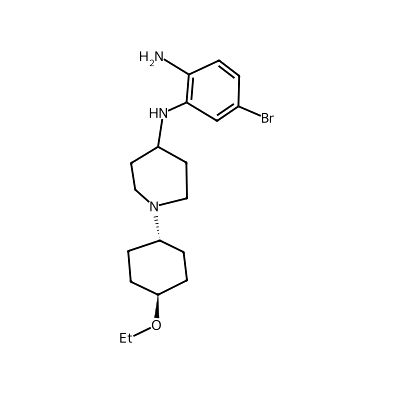 CCO[C@H]1CC[C@H](N2CCC(Nc3cc(Br)ccc3N)CC2)CC1